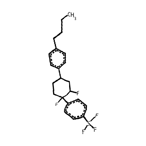 CCCCc1ccc(C2CCC(F)(c3ccc(S(F)(F)F)cc3)C(F)C2)cc1